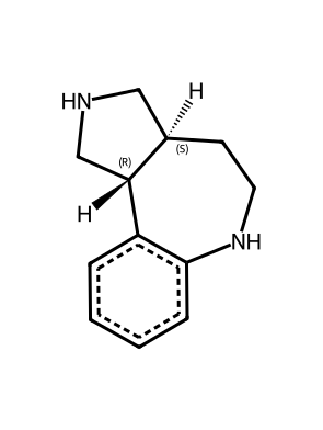 c1ccc2c(c1)NCC[C@@H]1CNC[C@@H]21